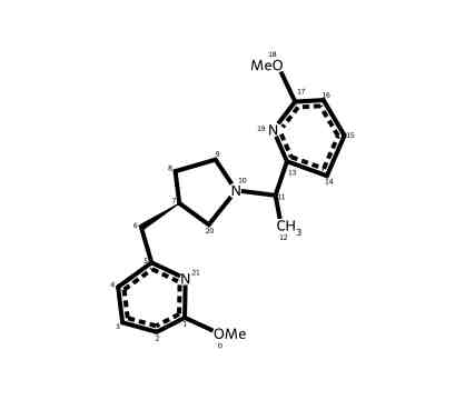 COc1cccc(C[C@H]2CCN(C(C)c3cccc(OC)n3)C2)n1